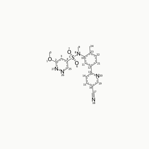 COc1cc(S(=O)(=O)N(C)c2cc(-c3ccc(C#N)cn3)ccc2C)cnn1